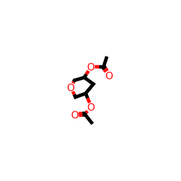 CC(=O)OC1COCC(OC(C)=O)C1